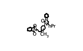 CCCC1CN(c2ccccc2)C(=O)N1C1CCN(C(C)CCN2C(=O)c3ccccc3C2=O)CC1